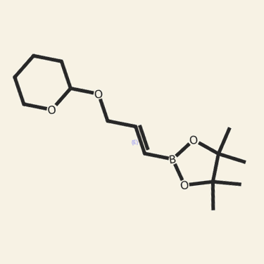 CC1(C)OB(/C=C/COC2CCCCO2)OC1(C)C